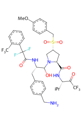 COc1ccc(CS(=O)(=O)[C@@H]2C[C@@H](C(=O)N[C@H](C(=O)C(F)(F)F)C(C)C)N(C(O)[C@H](Cc3ccc(CN)cc3)NC(=O)C(F)(F)c3ccccc3C(F)(F)F)C2)cc1